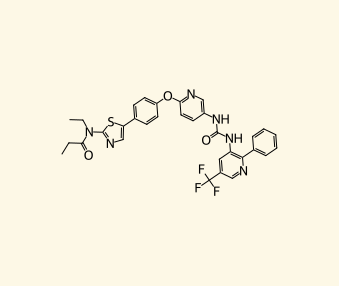 CCC(=O)N(CC)c1ncc(-c2ccc(Oc3ccc(NC(=O)Nc4cc(C(F)(F)F)cnc4-c4ccccc4)cn3)cc2)s1